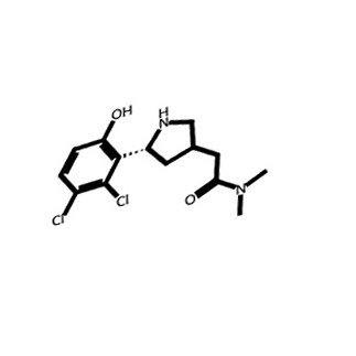 CN(C)C(=O)CC1CN[C@@H](c2c(O)ccc(Cl)c2Cl)C1